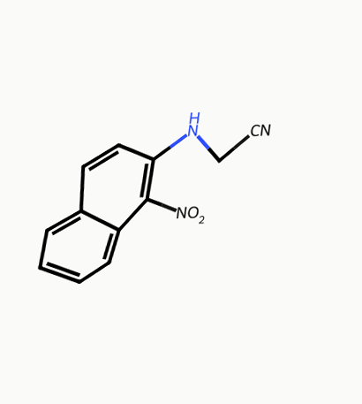 N#CCNc1ccc2ccccc2c1[N+](=O)[O-]